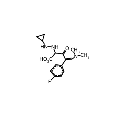 CN(C)C=C(C(=O)C(NNC1CC1)C(=O)O)c1ccc(F)cc1